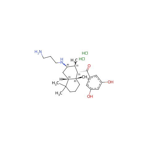 C[C@@H]1[C@H](NCCCN)C[C@H]2C(C)(C)CCC[C@@]2(C)[C@H]1C(=O)c1cc(O)cc(O)c1.Cl.Cl